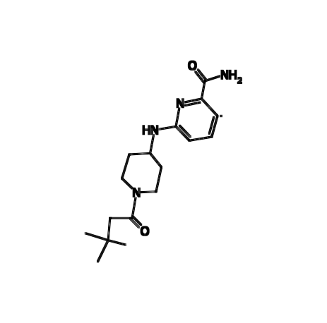 CC(C)(C)CC(=O)N1CCC(Nc2cc[c]c(C(N)=O)n2)CC1